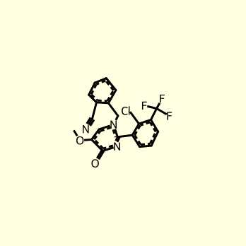 COc1cn(Cc2ccccc2C#N)c(-c2cccc(C(F)(F)F)c2Cl)nc1=O